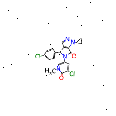 Cn1cc(N2C(=O)c3c(cnn3C3CC3)C2c2ccc(Cl)cc2)cc(Cl)c1=O